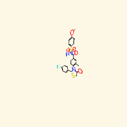 COc1ccc(S(=O)(=O)NC(=O)c2ccc(N3C(=O)CSC3c3ccc(F)cc3)c(C)c2)cc1